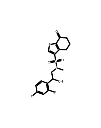 CN(CC(O)c1ccc(F)cc1F)S(=O)(=O)c1csc2c1CCCC2=O